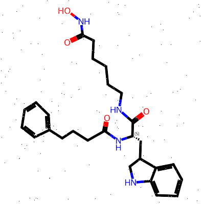 O=C(CCCCCNC(=O)[C@H](CC1CNc2ccccc21)NC(=O)CCCc1ccccc1)NO